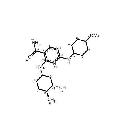 COC1CCC(Nc2ncc(C(N)=O)c(N[C@H]3CC[C@H](C)[C@@H](O)C3)n2)CC1